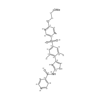 COCCOc1cnc(S(=O)(=O)c2cc(C)c(-c3csc(NC(=O)c4ccncc4)n3)c(C)c2)cn1